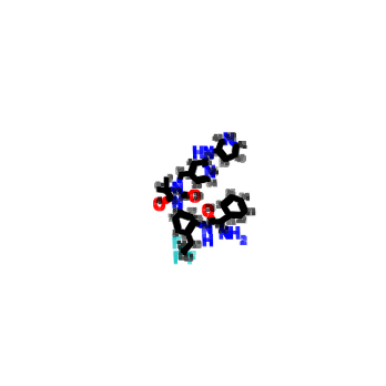 CC1(C)C(=O)N(c2ccc(CC(F)(F)F)c(NC(=O)[C@H](N)c3ccccc3)c2)C(=O)N1Cc1ccnc(Nc2cccnc2)c1